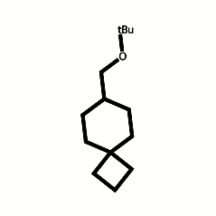 CC(C)(C)OCC1CCC2(CCC2)CC1